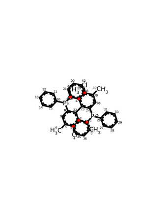 COc1c(Cl)c(C)cc(P(c2ccccc2)c2ccccc2)c1-c1c(P(c2ccccc2)c2ccccc2)cc(C)c(Cl)c1OC